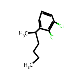 CCCCC(C)c1cccc(Cl)c1Cl